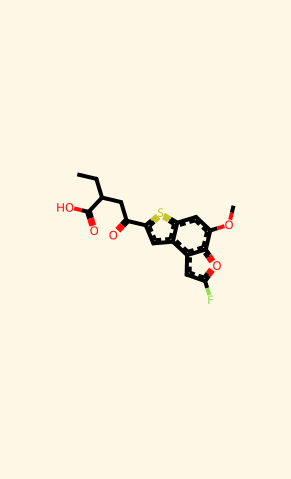 CCC(CC(=O)c1cc2c(cc(OC)c3oc(F)cc32)s1)C(=O)O